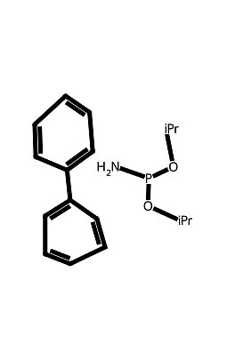 CC(C)OP(N)OC(C)C.c1ccc(-c2ccccc2)cc1